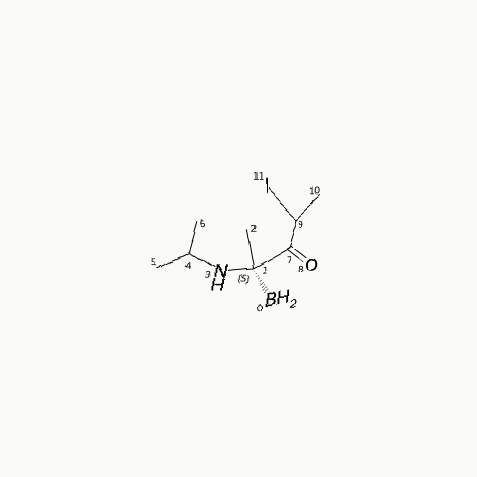 B[C@@](C)(NC(C)C)C(=O)C(C)I